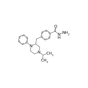 CC(C)N1CCN(c2ccccc2)C(Cc2ccc(C(=O)NN)cc2)C1